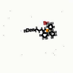 CCCCCCCCCCCCCCCC[P+](c1ccccc1)(c1ccccc1)c1ccccc1.[Br-]